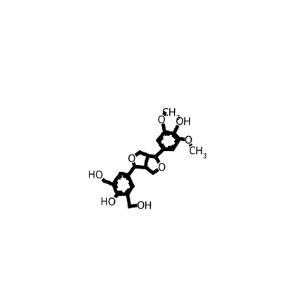 COc1cc(C2OCC3C(c4cc(CO)c(O)c(CO)c4)OCC23)cc(OC)c1O